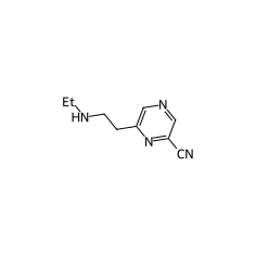 CCNCCc1cncc(C#N)n1